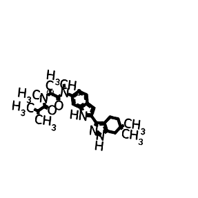 CC(C)C(=O)N(C)[C@@H](C)C(=O)N(C)c1ccc2cc(-c3n[nH]c4c3CCC(C)(C)C4)[nH]c2c1